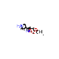 COC(=O)Cc1cc(C2CCNCC2)no1